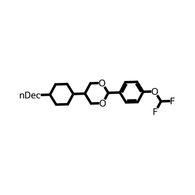 CCCCCCCCCCC1CCC(C2COC(c3ccc(OC(F)F)cc3)OC2)CC1